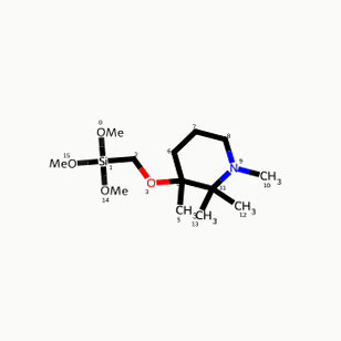 CO[Si](COC1(C)CCCN(C)C1(C)C)(OC)OC